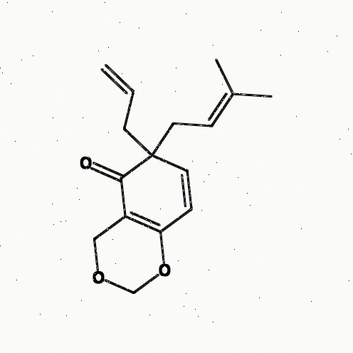 C=CCC1(CC=C(C)C)C=CC2=C(COCO2)C1=O